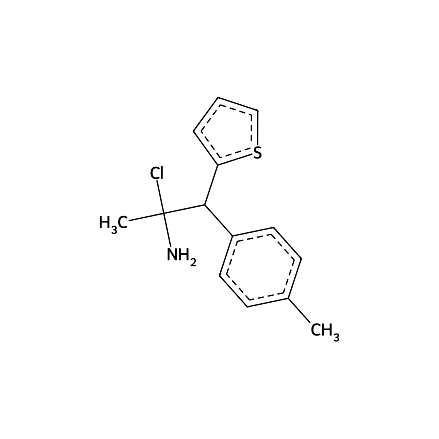 Cc1ccc(C(c2cccs2)C(C)(N)Cl)cc1